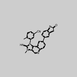 Cc1ccc(C#N)cc1-n1c(=N)n(C)c2cnc3ccc(-c4ccc5c(c4)=CC(=O)N=5)cc3c21